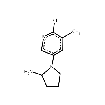 Cc1cc(N2CCCC2N)cnc1Cl